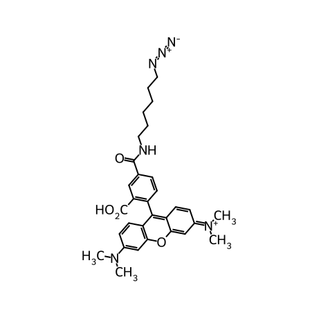 CN(C)c1ccc2c(-c3ccc(C(=O)NCCCCCCN=[N+]=[N-])cc3C(=O)O)c3ccc(=[N+](C)C)cc-3oc2c1